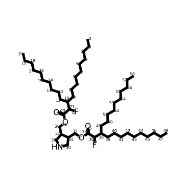 CCCCCCCCCCC(CCCCCCCCCC)C(F)C(=O)OCC1CNCC1COC(=O)C(F)C(CCCCCCCCCC)CCCCCCCCCC